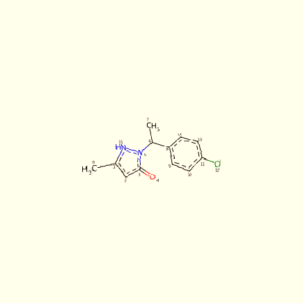 Cc1cc(=O)n(C(C)c2ccc(Cl)cc2)[nH]1